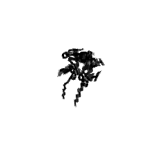 CCCCCCCCOC(=O)Nc1ccc(C(=O)[O-])c(O)c1.CCCCCCCCOC(=O)Nc1ccc(C(=O)[O-])c(O)c1.[Ni+2]